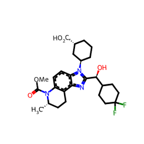 COC(=O)N1c2ccc3c(nc([C@@H](O)C4CCC(F)(F)CC4)n3[C@@H]3CCC[C@@H](C(=O)O)C3)c2CC[C@@H]1C